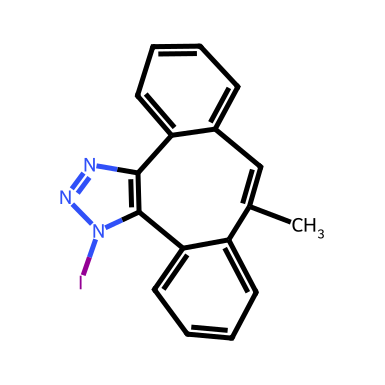 C/C1=C/c2ccccc2-c2nnn(I)c2-c2ccccc21